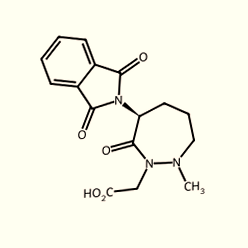 CN1CCC[C@H](N2C(=O)c3ccccc3C2=O)C(=O)N1CC(=O)O